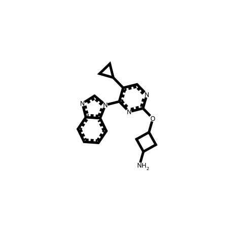 NC1CC(Oc2ncc(C3CC3)c(-n3cnc4ccccc43)n2)C1